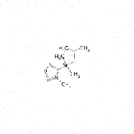 CC(C)C[Si](C)(C)c1nccn1C